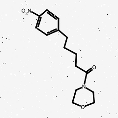 O=C(CCCCc1ccc([N+](=O)[O-])cc1)N1CCOCC1